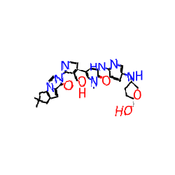 Cn1cc(-c2ccnc(-n3ccn4c5c(cc4c3=O)CC(C)(C)C5)c2CO)cc(Nc2ccc(N[C@@H]3CC[C@@H](CO)OC3)cn2)c1=O